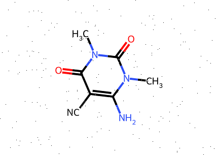 Cn1c(N)c(C#N)c(=O)n(C)c1=O